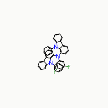 Fc1cc(F)cc(N(c2cccc3c4ccccc4n(-c4ccccc4)c23)c2cccc3c4ccccc4n(-c4ccccc4)c23)c1